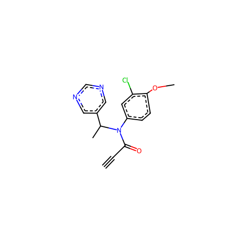 C#CC(=O)N(c1ccc(OC)c(Cl)c1)C(C)c1cncnc1